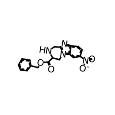 O=C(OCc1ccccc1)C1Cn2c(nc3ccc([N+](=O)[O-])cc32)CN1